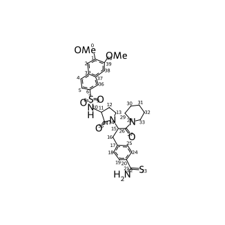 COc1cc2ccc(S(=O)(=O)NC3CCN(C(Cc4ccc(C(N)=S)cc4)C(=O)N4CCCCC4)C3=O)cc2cc1OC